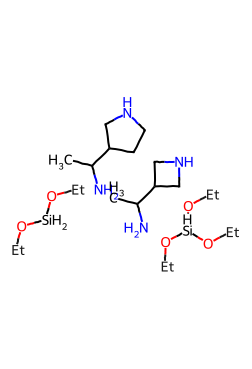 CC(N)C1CCNC1.CC(N)C1CNC1.CCO[SiH2]OCC.CCO[SiH](OCC)OCC